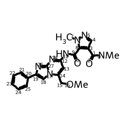 CNC(=O)c1cnn(C)c1C(=O)Nc1cc(COC)n2cc(-c3ccccc3)nc2n1